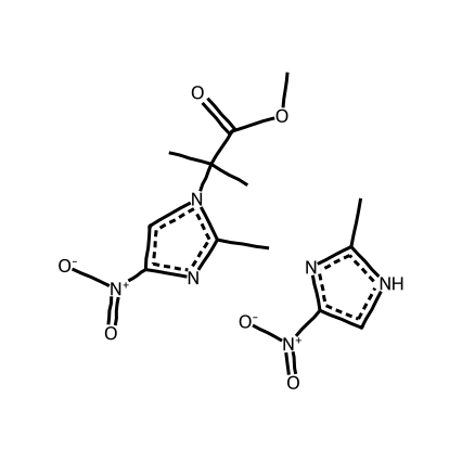 COC(=O)C(C)(C)n1cc([N+](=O)[O-])nc1C.Cc1nc([N+](=O)[O-])c[nH]1